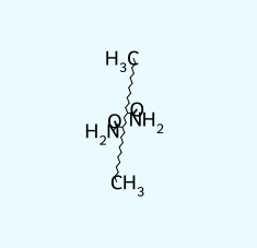 CCCCCCCCCCCC(CCC(CCCCCCCCCCC)C(N)=O)C(N)=O